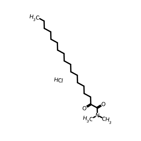 CCCCCCCCCCCCCCCCC(=O)C(=O)N(C)C.Cl